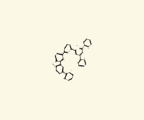 c1ccc(-c2cc(-c3ccccc3)nc(-c3cccc(-c4ccc5sc6ccc(-c7ccccc7)cc6c5c4)c3)c2)cc1